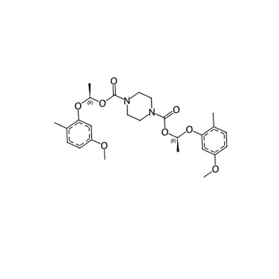 COc1ccc(C)c(O[C@@H](C)OC(=O)N2CCN(C(=O)O[C@H](C)Oc3cc(OC)ccc3C)CC2)c1